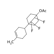 CC(=O)OC12CCC(C3CC=C(C)CC3)(CC1)C(F)(F)C2F